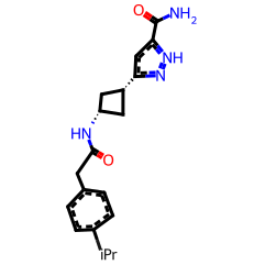 CC(C)c1ccc(CC(=O)N[C@H]2C[C@@H](c3cc(C(N)=O)[nH]n3)C2)cc1